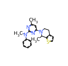 Cc1cc(N2CCc3ccsc3C2C)nc(N(C)c2ccccc2)n1